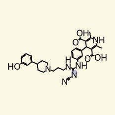 CC1=C(C(=O)O)C(c2cccc(N/C(=N/C#N)NCCCN3CCC(c4cccc(O)c4)CC3)c2)C(C(=O)O)=C(C)N1